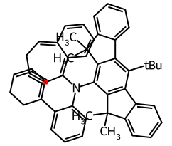 CC(C)(C)c1c2c(c(N(C3=c4ccccc4=CCC#C3)c3ccccc3C3=CC=CCC3)c3c1-c1ccccc1C3(C)C)C(C)(C)c1ccccc1-2